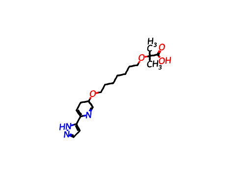 CC(C)(OCCCCCCCOC1C=NC(c2ccn[nH]2)=CC1)C(=O)O